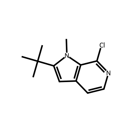 Cn1c(C(C)(C)C)cc2ccnc(Cl)c21